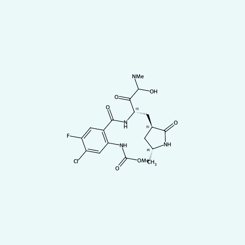 CNC(O)C(=O)[C@H](C[C@@H]1C[C@@H](C)NC1=O)NC(=O)c1cc(F)c(Cl)cc1NC(=O)OC